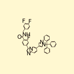 O=C(NCc1ccc(F)c(F)c1)c1ccc(-c2cnc3ccc(-c4cnn(C(c5ccccc5)(c5ccccc5)c5ccccc5)c4)cn23)cc1F